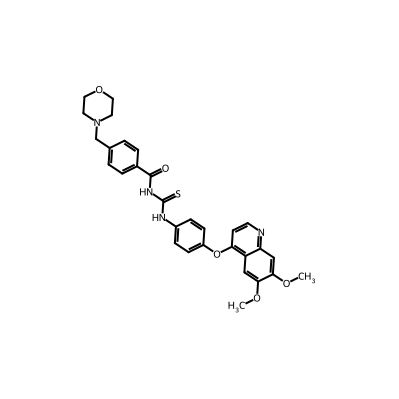 COc1cc2nccc(Oc3ccc(NC(=S)NC(=O)c4ccc(CN5CCOCC5)cc4)cc3)c2cc1OC